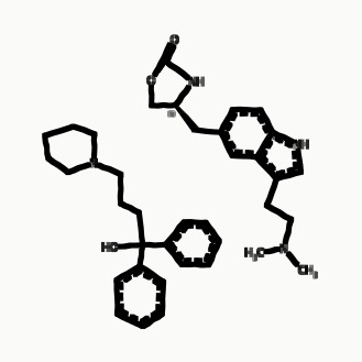 CN(C)CCc1c[nH]c2ccc(C[C@H]3COC(=O)N3)cc12.OC(CCCN1CCCCC1)(c1ccccc1)c1ccccc1